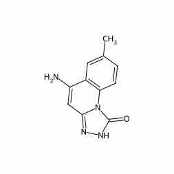 Cc1ccc2c(c1)c(N)cc1n[nH]c(=O)n12